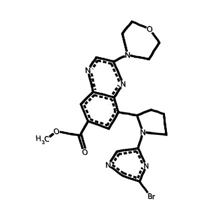 COC(=O)c1cc(C2CCCN2c2cncc(Br)n2)c2nc(N3CCOCC3)cnc2c1